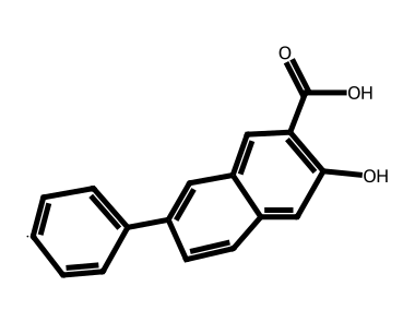 O=C(O)c1cc2cc(-c3cc[c]cc3)ccc2cc1O